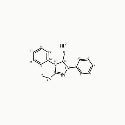 CSC1=NN(c2ccccc2)C(C)N1c1ccccc1.I